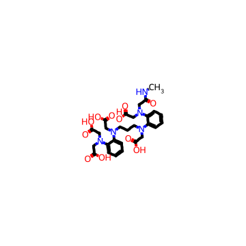 CNC(=O)CN(CC(=O)O)c1ccccc1N(CCCN(CC(=O)O)c1ccccc1N(CC(=O)O)CC(=O)O)CC(=O)O